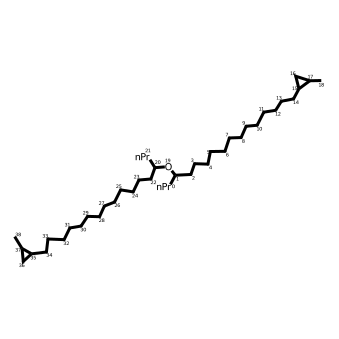 CCCC(CCCCCCCCCCCCCC1CC1C)OC(CCC)CCCCCCCCCCCCCC1CC1C